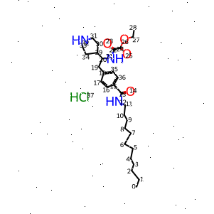 CCCCCCCCCCCCNC(=O)c1ccc(CC(NC(=O)C(=O)OCC)C2CCNCC2)cc1.Cl